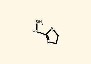 [SiH3]NC1=NCCS1